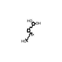 COC(C)(CCCCC(C)(C)O)c1cccc(C=Cc2cc(O)cc(O)c2)c1